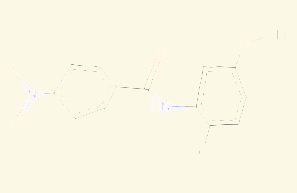 COc1ccc(C)c(NC(=O)c2ccc([N+](=O)[O-])cc2)c1